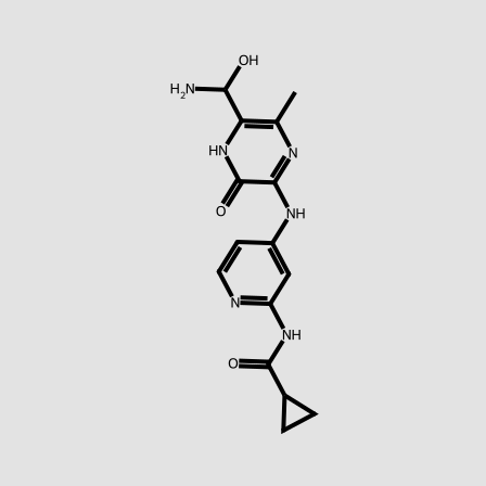 Cc1nc(Nc2ccnc(NC(=O)C3CC3)c2)c(=O)[nH]c1C(N)O